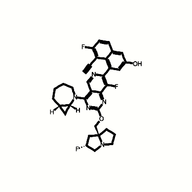 C#Cc1c(F)ccc2cc(O)cc(-c3ncc4c(N5CCCC[C@H]6C[C@H]65)nc(OC[C@@]56CCCN5C[C@H](F)C6)nc4c3F)c12